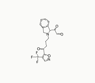 O=CC(=O)C1c2ccccc2CN1CCCC(=O)c1oncc1C(F)(F)F